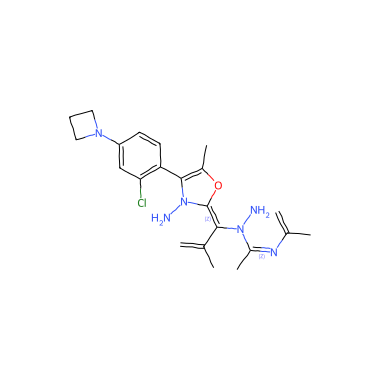 C=C(C)/N=C(/C)N(N)/C(C(=C)C)=C1\OC(C)=C(c2ccc(N3CCC3)cc2Cl)N1N